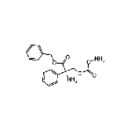 NOC(=O)OC[C@](N)(C(=O)OCc1ccccc1)c1ccccc1